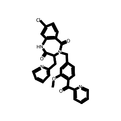 COc1cc(CN2C(=O)c3ccc(Cl)cc3NC(=O)C2Cc2ccccn2)ccc1C(=O)c1ccccn1